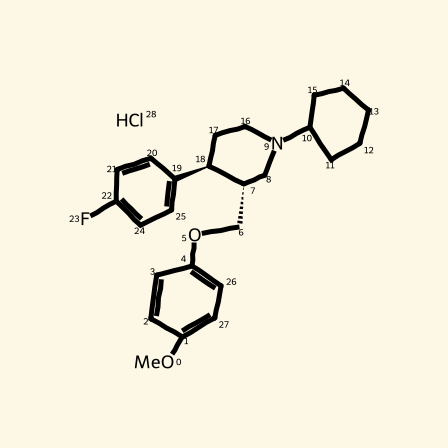 COc1ccc(OC[C@H]2CN(C3CCCCC3)CC[C@@H]2c2ccc(F)cc2)cc1.Cl